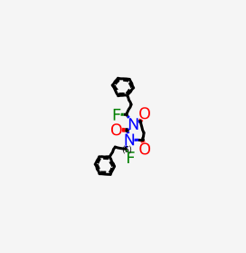 O=C1CC(=O)N([C@@H](F)Cc2ccccc2)C(=O)N1C(F)Cc1ccccc1